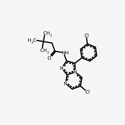 CC(C)(C)CC(=O)Nc1nc2ncc(Cl)cn2c1-c1cccc(Cl)c1